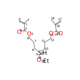 C=C(C)C(=O)OCCC[SiH](CCCOC(=O)C(=C)C)OCC